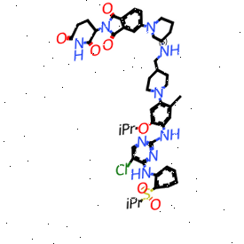 Cc1cc(Nc2ncc(Cl)c(Nc3ccccc3S(=O)(=O)C(C)C)n2)c(OC(C)C)cc1N1CCC(CN[C@H]2CCCN(c3ccc4c(c3)C(=O)N(C3CCC(=O)NC3=O)C4=O)C2)CC1